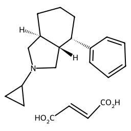 O=C(O)/C=C/C(=O)O.c1ccc([C@H]2CCC[C@@H]3CN(C4CC4)C[C@H]32)cc1